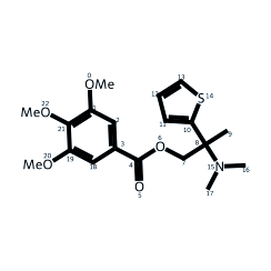 COc1cc(C(=O)OCC(C)(c2cccs2)N(C)C)cc(OC)c1OC